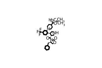 CC(C)(C)OC(=O)C1CCN(c2cc(C(F)(F)F)ccc2[C@H]2CNC[C@@H]2C(=O)N2C(=O)OC[C@H]2Cc2ccccc2)CC1